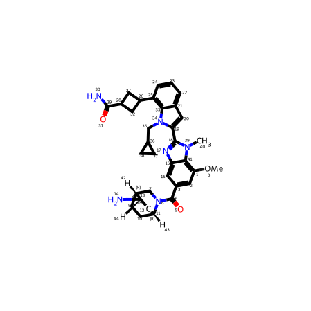 COc1cc(C(=O)N2C[C@H]3CC[C@@H]2C[C@@H]3N)cc2nc(-c3cc4cccc(C5CC(C(N)=O)C5)c4n3CC3CC3)n(C)c12